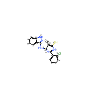 Cc1c(S)nc(-c2ccccc2Cl)nc1Nc1n[nH]c2ccccc12